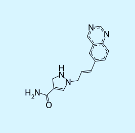 NC(=O)C1=CN(CC=Cc2ccc3ncncc3c2)NC1